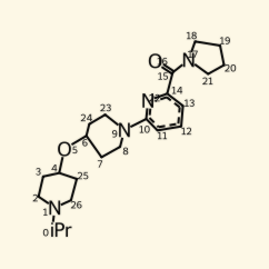 CC(C)N1CCC(OC2CCN(c3cccc(C(=O)N4CCCC4)n3)CC2)CC1